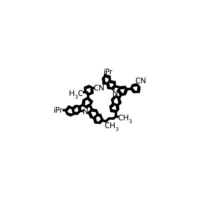 Cc1ccc(C#N)cc1-c1cc2c3cc4cc(C(C)C)ccc4cc3n3c4cc5ccc(C(C)CCC(C)c6ccc7cc8c(cc7c6)c6cc(-c7cccc(C#N)c7)cc7c9cc%10cc(C(C)C)ccc%10cc9n8c76)cc5cc4c(c1)c23